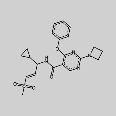 CS(=O)(=O)C=CC(NC(=O)c1cnc(N2CCC2)nc1Oc1ccccc1)C1CC1